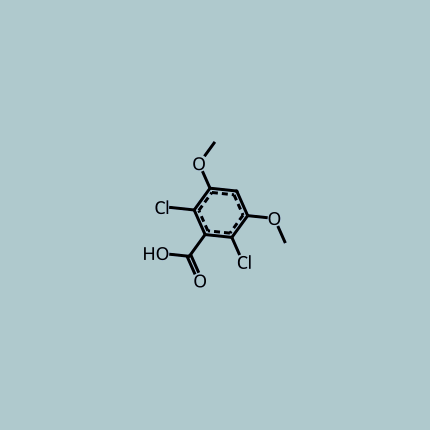 COc1cc(OC)c(Cl)c(C(=O)O)c1Cl